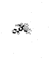 CC(C)CN[C@H]1C[C@@H](C(=O)N2CCOCC2)CN(C(=O)O)C1C(C)(C)C